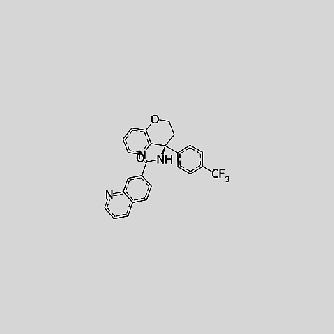 O=C(N[C@]1(c2ccc(C(F)(F)F)cc2)CCOc2cccnc21)c1ccc2cccnc2c1